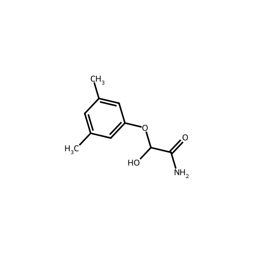 Cc1cc(C)cc(OC(O)C(N)=O)c1